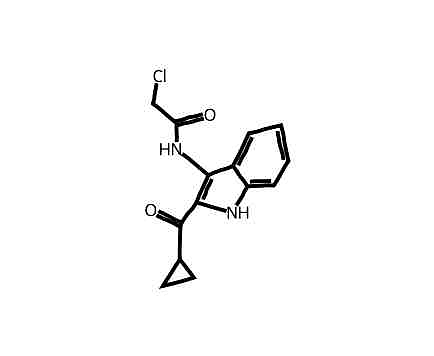 O=C(CCl)Nc1c(C(=O)C2CC2)[nH]c2ccccc12